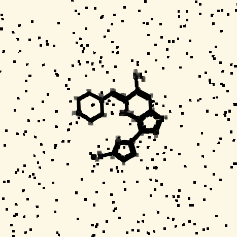 NC1=Cc2nnc(-c3ccc([N+](=O)[O-])o3)n2NC1=CN1CCOCC1